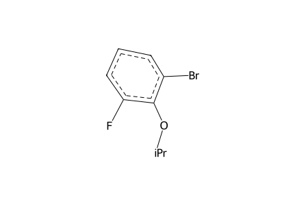 CC(C)Oc1c(F)cccc1Br